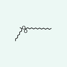 CCCCCCCCCCCCCC(=O)OC(C)CCCCCCC